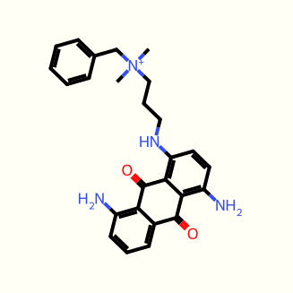 C[N+](C)(CCCNc1ccc(N)c2c1C(=O)c1c(N)cccc1C2=O)Cc1ccccc1